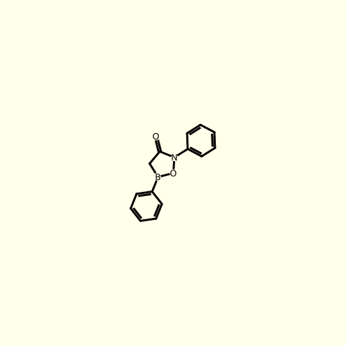 O=C1CB(c2ccccc2)ON1c1ccccc1